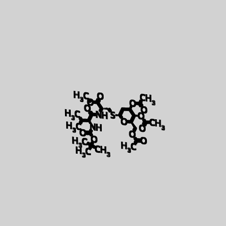 COC(=O)[C@H](CS[C@@H]1C[C@@H](OC(C)=O)[C@H](OC(C)=O)[C@@H](COC(C)=O)O1)NC(=O)[C@@H](NC(=O)OC(C)(C)C)C(C)C